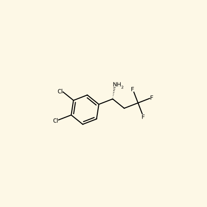 N[C@H](CC(F)(F)F)c1ccc(Cl)c(Cl)c1